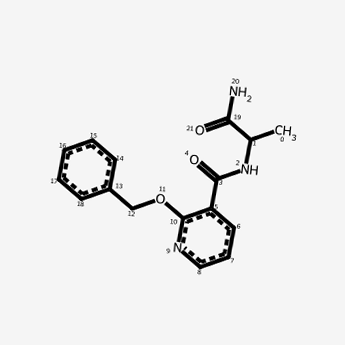 CC(NC(=O)c1cccnc1OCc1ccccc1)C(N)=O